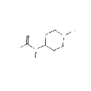 CN1CCC(N(O)C(N)=O)CC1